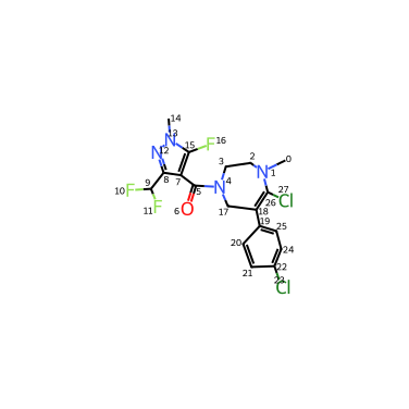 CN1CCN(C(=O)c2c(C(F)F)nn(C)c2F)CC(c2ccc(Cl)cc2)=C1Cl